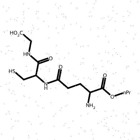 CCCOC(=O)C(N)CCC(=O)NC(CS)C(=O)NCC(=O)O